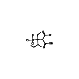 CCC(C)C(CC)(C(C(=O)O)C(=O)O)[Si](Cl)(Cl)Cl